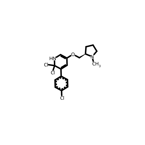 CN1CCC[C@@H]1COC1=CNC(Cl)(Cl)C(c2ccc(Cl)cc2)=C1